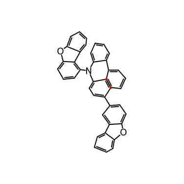 c1ccc(-c2ccccc2N(c2ccc(-c3ccc4oc5ccccc5c4c3)cc2)c2cccc3oc4ccccc4c23)cc1